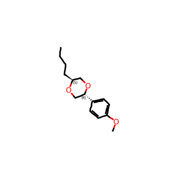 CCCC[C@H]1CO[C@H](c2ccc(OC)cc2)CO1